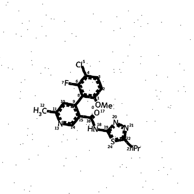 COc1ccc(Cl)c(F)c1-c1cc(C)ncc1C(=O)Nc1nnc(C(C)C)s1